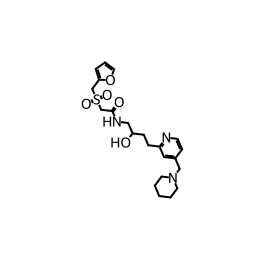 O=C(CS(=O)(=O)Cc1ccco1)NCC(O)CCc1cc(CN2CCCCC2)ccn1